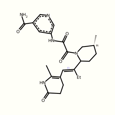 CC/C(=C\C1=C(C)NC(=O)CC1)C1CC[C@@H](C)CN1C(=O)C(=O)Nc1cncc(C(N)=O)c1